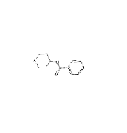 O=C(OC1CC[N]CC1)c1ccccc1